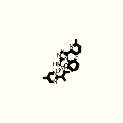 Cc1cnc(C(C)C(C)S(=O)(=O)Nc2nnc(-c3cccc(C)n3)n2-c2c(F)cccc2F)nc1